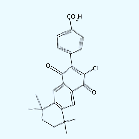 CC1(C)CCC(C)(C)c2cc3c(cc21)C(=O)C(Cl)=C(c1ccc(C(=O)O)cc1)C3=O